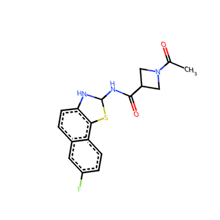 CC(=O)N1CC(C(=O)NC2Nc3ccc4cc(F)ccc4c3S2)C1